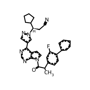 CC(C(=O)n1ccc2c(-c3cnn([C@H](CC#N)C4CCCC4)c3)ncnc21)c1ccc(-c2ccccc2)c(F)c1